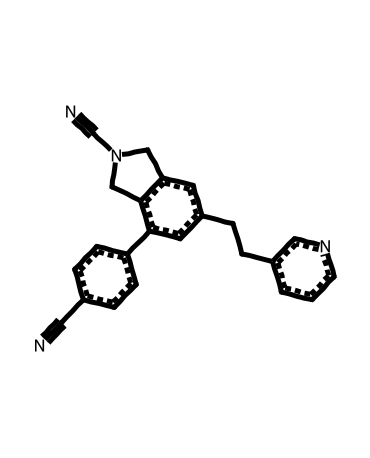 N#Cc1ccc(-c2cc(CCc3cccnc3)cc3c2CN(C#N)C3)cc1